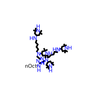 CCCCCCCCNc1nc(CN(CCCCCCNC2CC(C)(C)NC(C)(C)C2)C2CC(C)(C)NC(C)(C)C2)nc(N(CCCCCCNC2CC(C)(C)NC(C)(C)C2)C2CC(C)(C)NC(C)(C)C2)n1